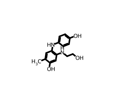 Cc1cc(Nc2ccc(O)cc2)c(NCCO)cc1O